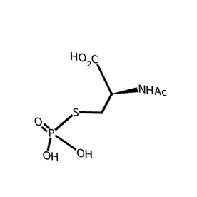 CC(=O)N[C@@H](CSP(=O)(O)O)C(=O)O